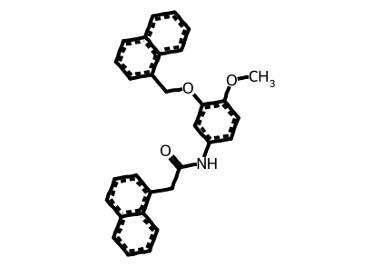 COc1ccc(NC(=O)Cc2cccc3ccccc23)cc1OCc1cccc2ccccc12